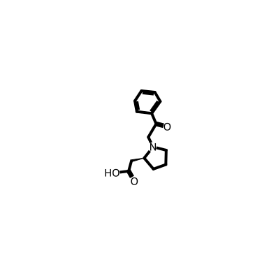 O=C(O)C[C@@H]1CCCN1CC(=O)c1ccccc1